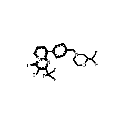 O=c1c(Br)c(C(F)(F)F)nc2c(-c3ccc(CN4CCOC(C(F)F)C4)cc3)cccn12